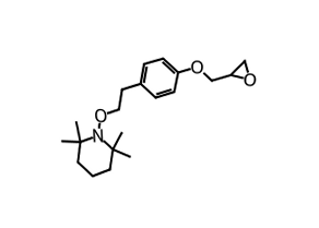 CC1(C)CCCC(C)(C)N1OCCc1ccc(OCC2CO2)cc1